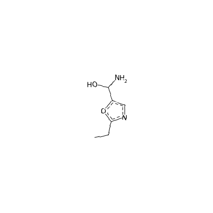 CCc1ncc(C(N)O)o1